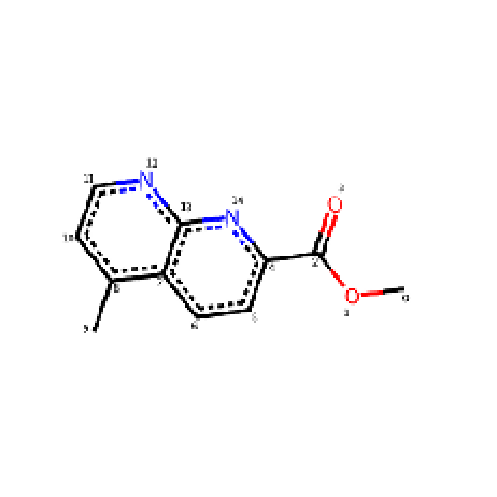 COC(=O)c1ccc2c(C)ccnc2n1